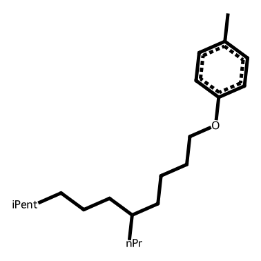 CCCC(C)CCCC(CCC)CCCCOc1ccc(C)cc1